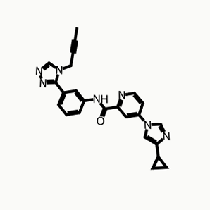 CC#CCn1cnnc1-c1cccc(NC(=O)c2cc(-n3cnc(C4CC4)c3)ccn2)c1